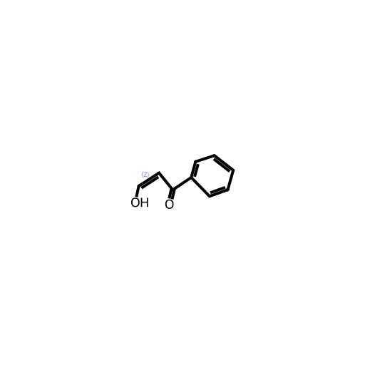 O=C(/C=C\O)c1ccccc1